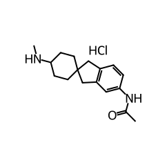 CNC1CCC2(CC1)Cc1ccc(NC(C)=O)cc1C2.Cl